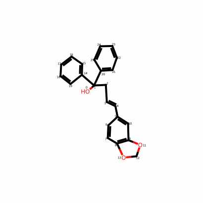 OC(C/C=C/c1ccc2c(c1)OCO2)(c1ccccc1)c1ccccc1